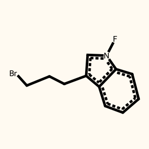 Fn1cc(CCCBr)c2ccccc21